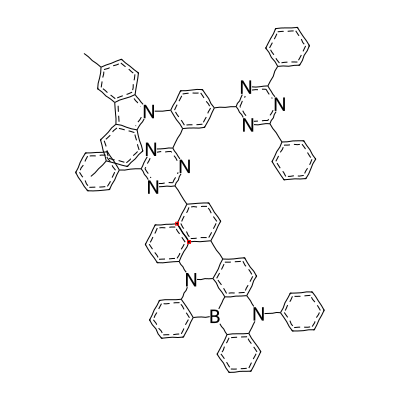 Cc1ccc2c(c1)c1cc(C)ccc1n2-c1ccc(-c2nc(-c3ccccc3)nc(-c3ccccc3)n2)cc1-c1nc(-c2ccccc2)nc(-c2ccc(-c3ccc4c5c3N(c3ccccc3)c3ccccc3B5c3ccccc3N4c3ccccc3)cc2)n1